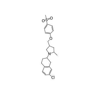 CC1CC(COc2ccc(S(C)(=O)=O)cc2)CN1C1CCc2ccc(Cl)cc2C1